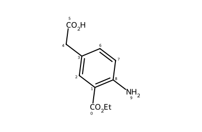 CCOC(=O)c1cc(CC(=O)O)ccc1N